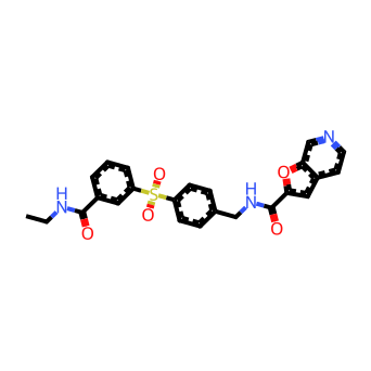 CCNC(=O)c1cccc(S(=O)(=O)c2ccc(CNC(=O)c3cc4ccncc4o3)cc2)c1